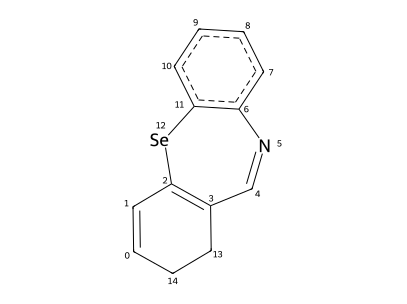 C1=CC2=C(C=Nc3ccccc3[Se]2)CC1